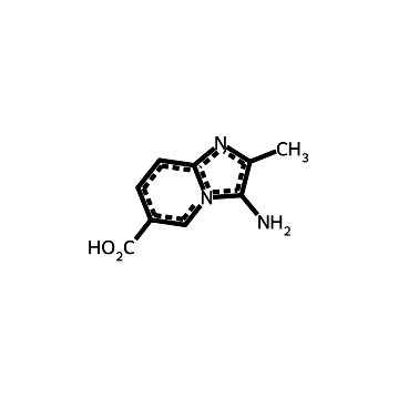 Cc1nc2ccc(C(=O)O)cn2c1N